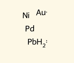 [Au].[Ni].[PbH2].[Pd]